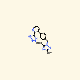 CCCCc1nc(CCC)nn1Cc1ccc(-c2cccnc2-c2nnn[nH]2)cc1